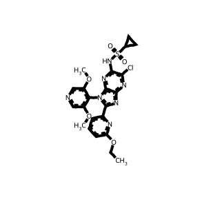 CCOc1cccc(-c2nc3nc(Cl)c(NS(=O)(=O)C4CC4)nc3n2-c2c(OC)cncc2OC)n1